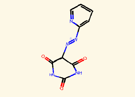 O=C1NC(=O)C(/N=N/c2ccccn2)C(=O)N1